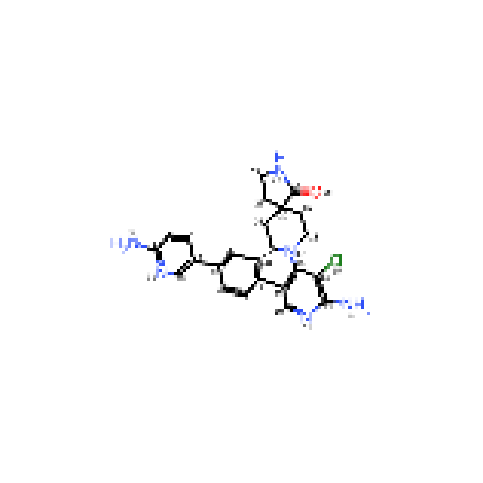 Nc1ccc(-c2ccc(-c3cnc(N)c(Cl)c3N3CCC4(CCNC4=O)CC3)cc2)cn1